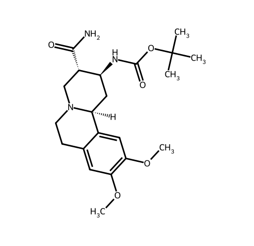 COc1cc2c(cc1OC)[C@@H]1C[C@H](NC(=O)OC(C)(C)C)[C@@H](C(N)=O)CN1CC2